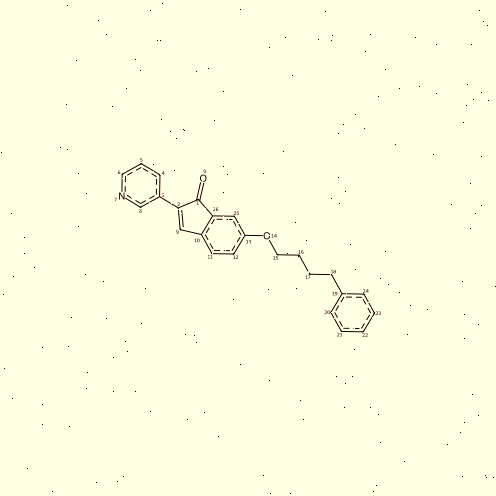 O=C1C(c2cccnc2)=Cc2ccc(OCCCCc3ccccc3)cc21